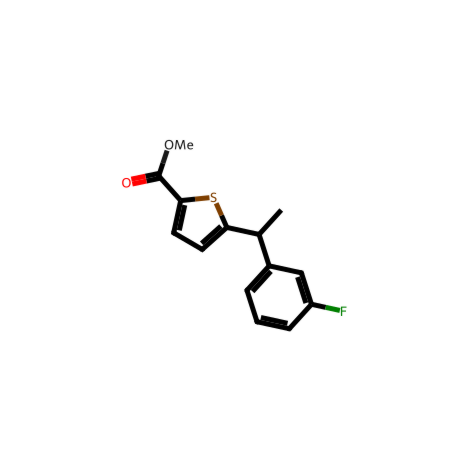 COC(=O)c1ccc(C(C)c2cccc(F)c2)s1